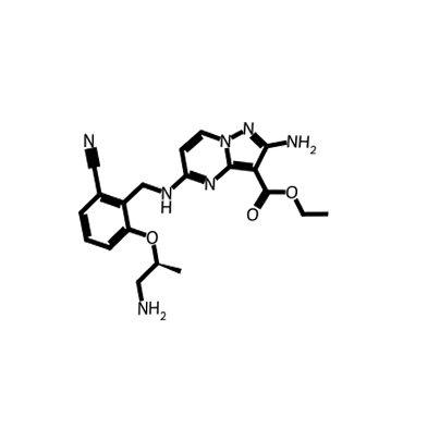 CCOC(=O)c1c(N)nn2ccc(NCc3c(C#N)cccc3O[C@@H](C)CN)nc12